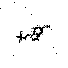 Nc1cc2cnn(CCC(F)(F)F)c2cn1